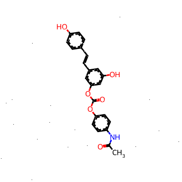 CC(=O)Nc1ccc(OC(=O)Oc2cc(O)cc(/C=C/c3ccc(O)cc3)c2)cc1